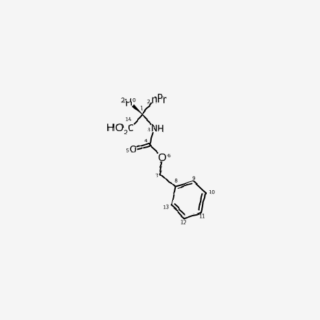 [2H][C@@](CCC)(NC(=O)OCc1ccccc1)C(=O)O